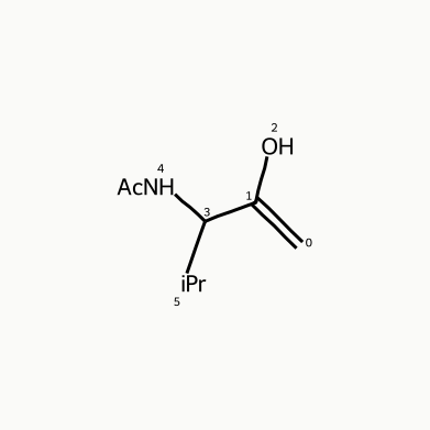 C=C(O)C(NC(C)=O)C(C)C